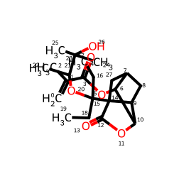 C=C(C)C(=O)OC1C2CC3C1OC(=O)C3(C(CC)(CC)OC(C)C(C)(C)O)C2